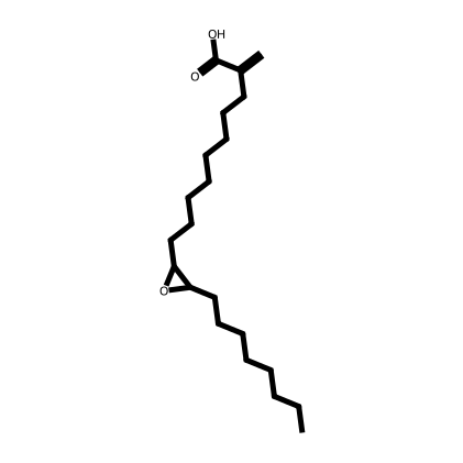 C=C(CCCCCCCCC1OC1CCCCCCCC)C(=O)O